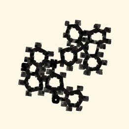 c1ccc(C2(c3ccc(N(c4ccc5oc6ccccc6c5c4)c4cccc5sc6ccccc6c45)cc3)c3ccccc3-c3ccccc32)cc1